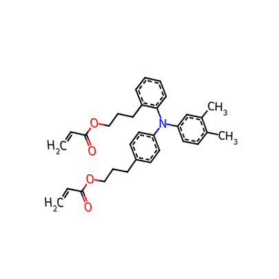 C=CC(=O)OCCCc1ccc(N(c2ccc(C)c(C)c2)c2ccccc2CCCOC(=O)C=C)cc1